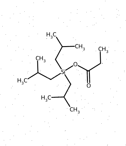 C[CH]C(=O)O[Si](CC(C)C)(CC(C)C)CC(C)C